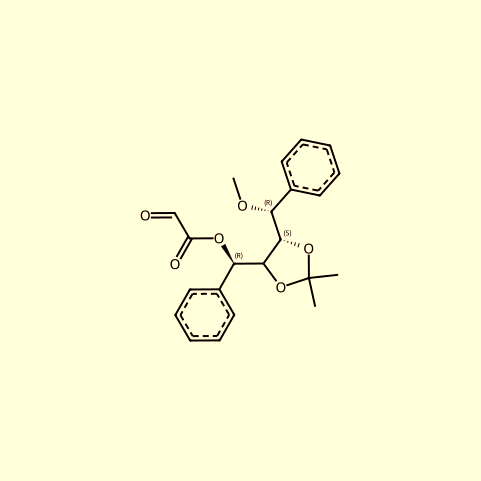 CO[C@H](c1ccccc1)[C@@H]1OC(C)(C)OC1[C@H](OC(=O)C=O)c1ccccc1